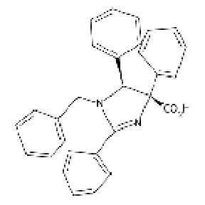 O=C(O)[C@@]1(c2ccccc2)N=C(c2ccccc2)N(Cc2ccccc2)[C@H]1c1ccccc1